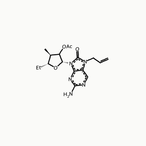 C=CCn1c(=O)n([C@@H]2O[C@H](CC)[C@@H](C)C2OC(C)=O)c2nc(N)ncc21